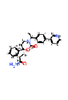 CC(c1ccc(-c2cccnc2)cc1)N1CC[C@](CCC(N)=O)(c2ccccc2)OC1=O